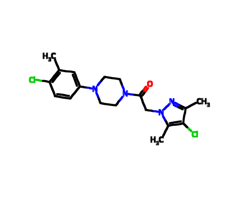 Cc1cc(N2CCN(C(=O)Cn3nc(C)c(Cl)c3C)CC2)ccc1Cl